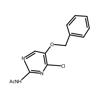 CC(=O)Nc1ncc(OCc2ccccc2)c(Cl)n1